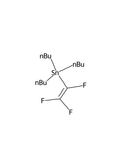 CCC[CH2][Sn]([CH2]CCC)([CH2]CCC)[C](F)=C(F)F